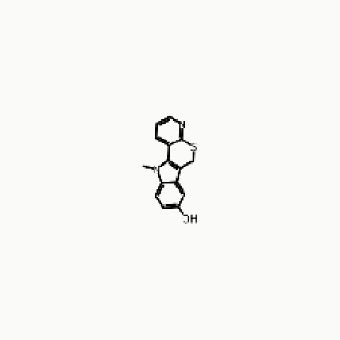 Cn1c2c(c3cc(O)ccc31)CSc1ncccc1-2